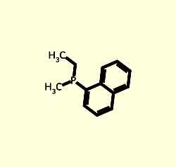 CCP(C)c1cccc2ccccc12